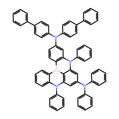 c1ccc(-c2ccc(N(c3ccc(-c4ccccc4)cc3)c3ccc4c(c3)N(c3ccccc3)c3cc(N(c5ccccc5)c5ccccc5)cc5c3B4c3ccccc3N5c3ccccc3)cc2)cc1